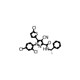 C[C@H](NC(=O)c1nn(-c2ccc(Cl)cc2Cl)c(-c2ccc(Cl)s2)c1C#N)c1ccccc1